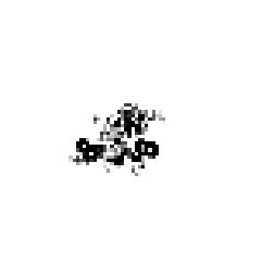 CC(=O)OC[C@H]1O[C@@H](Oc2cc3c(c4ccccc24)[C@H](CCl)CN3C(=O)c2ccc(C(=O)N3C[C@@H](CCl)c4c3cc(O)c3ccccc43)s2)[C@H](OC(C)=O)[C@@H](OC(C)=O)[C@H]1OC(C)=O